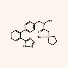 CCCN(Cc1ccc(-c2ccccc2-c2nnn[nH]2)cc1)C(=O)CC1(C(=O)O)CCCC1